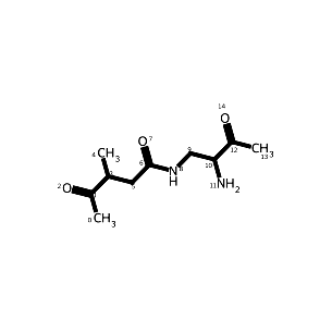 CC(=O)C(C)CC(=O)NCC(N)C(C)=O